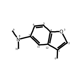 Cc1coc2ccc(N(C)C)cc12